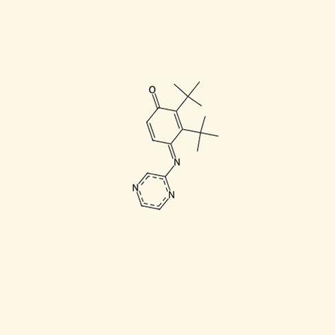 CC(C)(C)C1=C(C(C)(C)C)C(=Nc2cnccn2)C=CC1=O